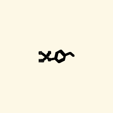 CCc1ccc(OP(=O)(O)Cl)cc1